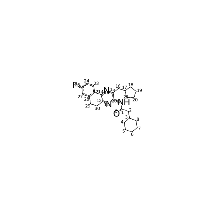 O=C(CC1CCCCC1)Nc1nc2c(nc1CC1CCCC1)-c1ccc(F)cc1CC2